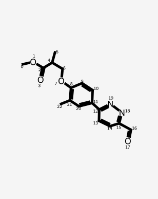 COC(=O)C(C)COc1ccc(-c2ccc(C=O)nn2)cc1C